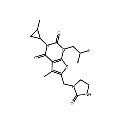 Cc1c(CN2CCNC2=O)sc2c1c(=O)n(C1CC1C)c(=O)n2CC(F)F